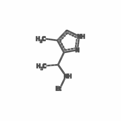 CCNC(C)c1n[nH]cc1C